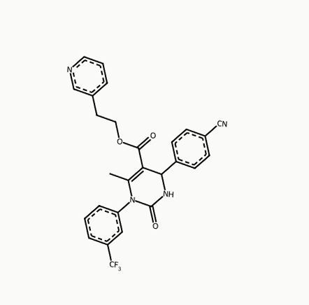 CC1=C(C(=O)OCCc2cccnc2)C(c2ccc(C#N)cc2)NC(=O)N1c1cccc(C(F)(F)F)c1